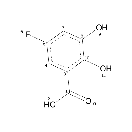 O=C(O)c1cc(F)cc(O)c1O